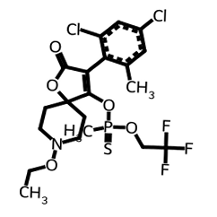 CCON1CCC2(CC1)OC(=O)C(c1c(C)cc(Cl)cc1Cl)=C2OP(C)(=S)OCC(F)(F)F